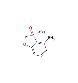 Bc1cccc2c1[P@@](=O)(C(C)(C)C)CO2